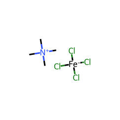 C[N+](C)(C)C.[Cl][Fe-]([Cl])([Cl])[Cl]